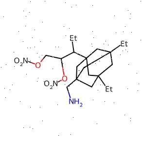 CCC(C(CO[N+](=O)[O-])O[N+](=O)[O-])C12CC3(CC)CC(CC)(CC(CN)(C3)C1)C2